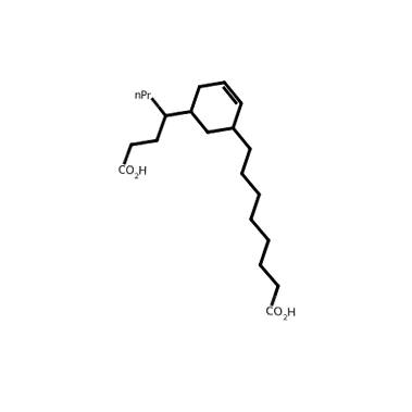 CCCC(CCC(=O)O)C1CC=CC(CCCCCCCC(=O)O)C1